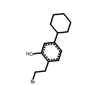 Oc1cc(C2CCCCC2)ccc1CCBr